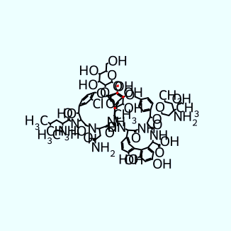 CNC(CC(C)C)C(=O)NC1C(=O)NC(CC(N)=O)C(=O)NC2C(=O)NC3C(=O)NC(C(=O)NC(C(=O)O)c4cc(O)cc(O)c4-c4cc3ccc4O)C(OC3CC(C)(N)C(O)C(C)O3)c3ccc(cc3)Oc3cc2cc(c3OC2OC(CO)C(O)C(O)C2OC2OC(C)C(O)C(O)C2O)Oc2ccc(cc2Cl)C1O